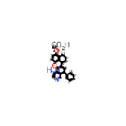 NC(=O)C(CC(c1ccccc1)c1cccnc1)C1CCCc2c(OCC(=O)O)cccc21